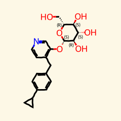 OC[C@H]1O[C@@H](Oc2cnccc2Cc2ccc(C3CC3)cc2)[C@H](O)[C@@H](O)[C@@H]1O